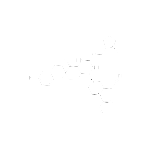 C=CC(=O)N1CCN(C2NC(OCC3CCCN3C)NC3C(=O)C4(CCc5cc(F)ccc5C4)CCC32)CC1CC#N